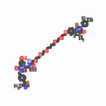 Cc1ncsc1-c1ccc(CNC(=O)[C@@H]2C[C@@H](O)CN2C(=O)[C@@H](NC(=O)COCCOCCOCCCCOCCOCCOc2ccc(N3C(=S)N(c4ccc(C#N)c(C(F)(F)F)c4)C(=O)C3(C)C)cc2)C(C)(C)C)cc1